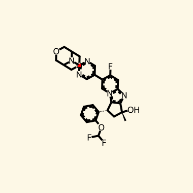 C[C@@]1(O)C[C@H](c2ccccc2OC(F)F)c2c1nc1cc(F)c(-c3cnc(N4C5COCC4COC5)nc3)cn21